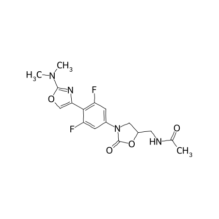 CC(=O)NCC1CN(c2cc(F)c(-c3coc(N(C)C)n3)c(F)c2)C(=O)O1